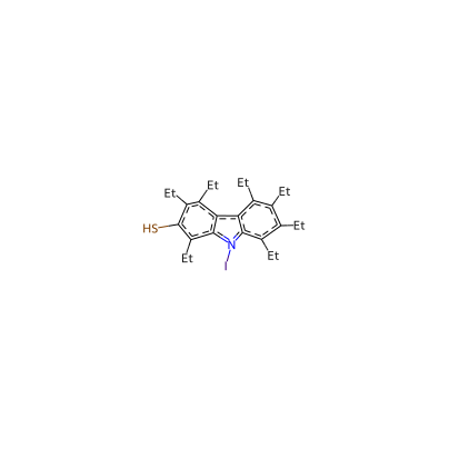 CCc1c(S)c(CC)c2c(c1CC)c1c(CC)c(CC)c(CC)c(CC)c1n2I